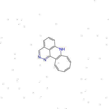 C1=CC=CC2=C(C=C1)Nc1cccc3cnnc2c13